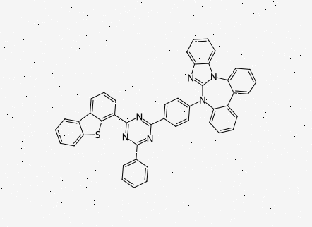 c1ccc(-c2nc(-c3ccc(N4c5ccccc5-c5ccccc5-n5c4nc4ccccc45)cc3)nc(-c3cccc4c3sc3ccccc34)n2)cc1